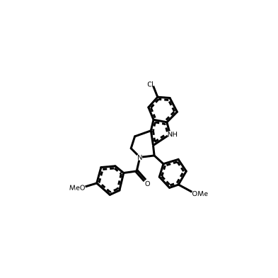 COc1ccc(C(=O)N2CCc3c([nH]c4ccc(Cl)cc34)C2c2ccc(OC)cc2)cc1